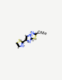 COc1nn2cc(-c3nccs3)nc2s1